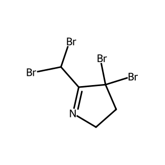 BrC(Br)C1=NCCC1(Br)Br